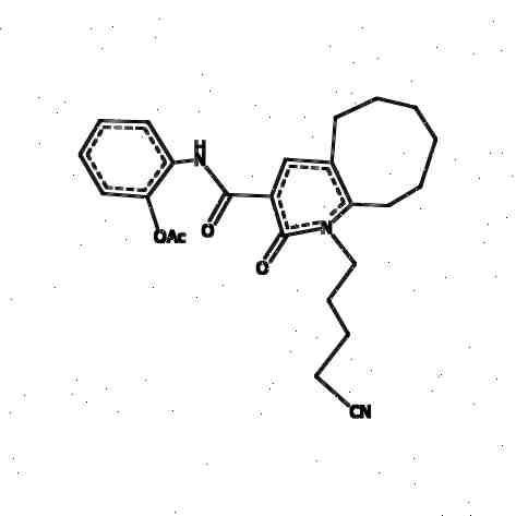 CC(=O)Oc1ccccc1NC(=O)c1cc2c(n(CCCCC#N)c1=O)CCCCCC2